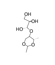 CC1OCC(O[C@H](O)[C@H](O)CO)[C@H](C)O1